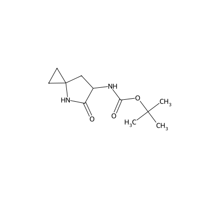 CC(C)(C)OC(=O)NC1CC2(CC2)NC1=O